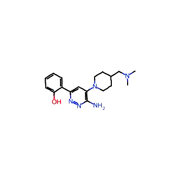 CN(C)CC1CCN(c2cc(-c3ccccc3O)nnc2N)CC1